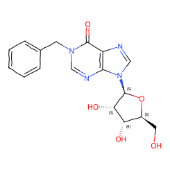 O=c1c2ncn([C@H]3O[C@@H](CO)[C@H](O)[C@@H]3O)c2ncn1Cc1ccccc1